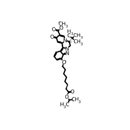 COC(=O)c1cn2c(cc1=O)-c1c3cccc(OCCCCCCCC(=O)OC(C)C)c3nn1C[C@H]2C(C)(C)C